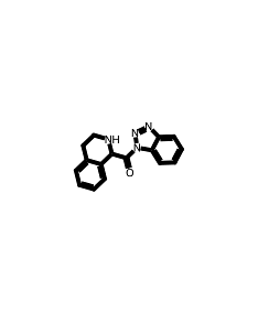 O=C(C1NCCc2ccccc21)n1nnc2ccccc21